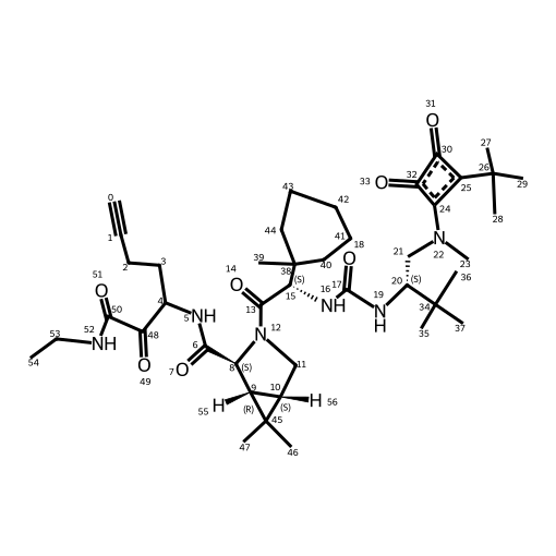 C#CCCC(NC(=O)[C@@H]1[C@@H]2[C@H](CN1C(=O)[C@@H](NC(=O)N[C@H](CN(C)c1c(C(C)(C)C)c(=O)c1=O)C(C)(C)C)C1(C)CCCCC1)C2(C)C)C(=O)C(=O)NCC